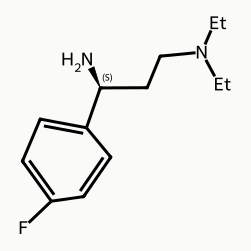 CCN(CC)CC[C@H](N)c1ccc(F)cc1